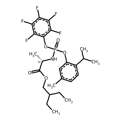 CCC(CC)COC(=O)[C@H](C)NP(=O)(Oc1cc(C)ccc1C(C)C)Oc1c(F)c(F)c(F)c(F)c1F